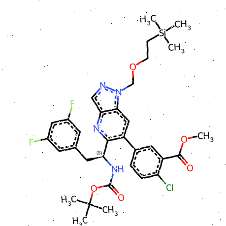 COC(=O)c1cc(-c2cc3c(cnn3COCC[Si](C)(C)C)nc2[C@H](Cc2cc(F)cc(F)c2)NC(=O)OC(C)(C)C)ccc1Cl